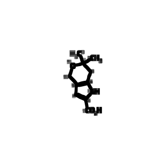 CC1(C)Cc2[nH]c(C(=O)O)cc2CO1